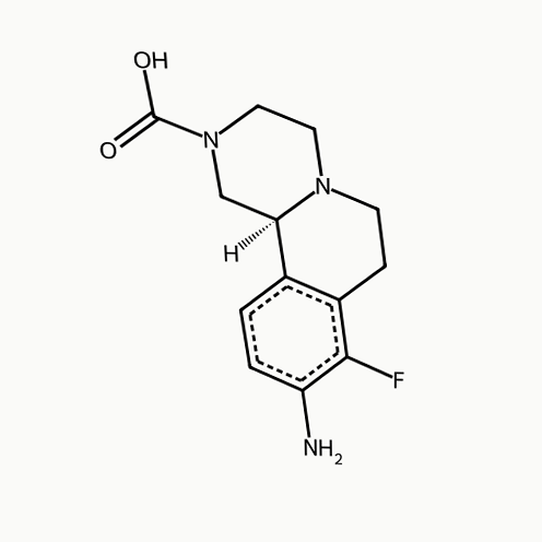 Nc1ccc2c(c1F)CCN1CCN(C(=O)O)C[C@H]21